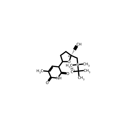 C#C[C@@]1(C[Si](C)(C)C(C)(C)C)CCC(C2C=C(C)C(=O)NC2=O)O1